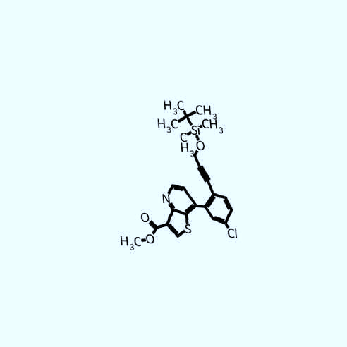 COC(=O)c1csc2c(-c3cc(Cl)ccc3C#CCO[Si](C)(C)C(C)(C)C)ccnc12